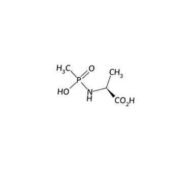 C[C@H](NP(C)(=O)O)C(=O)O